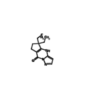 CCC1(CC)CCc2c1[nH]c1ccnn1c2=O